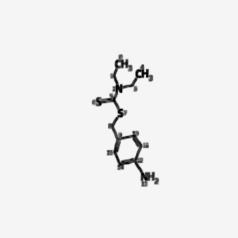 CCN(CC)C(=S)SCc1ccc(N)cc1